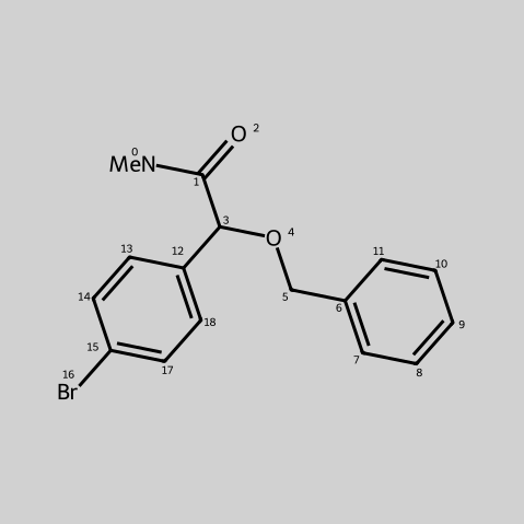 CNC(=O)C(OCc1ccccc1)c1ccc(Br)cc1